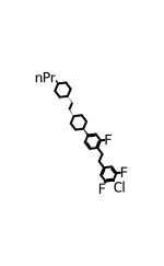 CCC[C@H]1CC[C@H](CC[C@H]2CC[C@H](c3ccc(CCc4cc(F)c(Cl)c(F)c4)c(F)c3)CC2)CC1